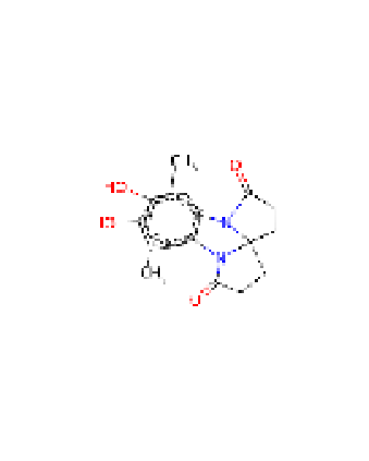 Cc1cc(N2C(=O)CCC23CCC(=O)N3c2ccc(O)c(C)c2)ccc1O